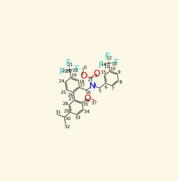 COC(=O)N(Cc1cccc(C(F)(F)F)c1)Cc1cc(C(F)(F)F)ccc1-c1cc(C(C)C)ccc1OC